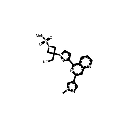 CNS(=O)(=O)N1CC(CC#N)(n2ccc(-c3nc(-c4cnn(C)c4)cc4ncccc34)n2)C1